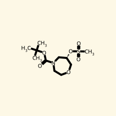 CC(C)(C)OC(=O)N1CCOC[C@@H](OS(C)(=O)=O)C1